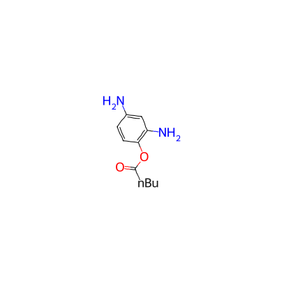 CCCCC(=O)Oc1ccc(N)cc1N